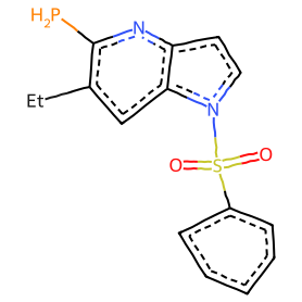 CCc1cc2c(ccn2S(=O)(=O)c2ccccc2)nc1P